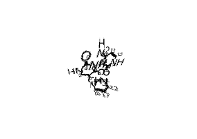 Cc1c[nH]c(=O)[nH]c1=O.Nc1cc[nH]c(=O)n1.c1cncnc1